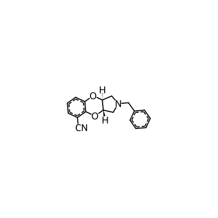 N#Cc1cccc2c1O[C@H]1CN(Cc3ccccc3)C[C@@H]1O2